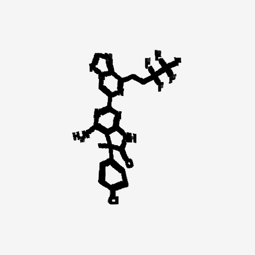 CC1(c2ccc(Cl)cc2)C(=O)Nc2nc(-c3cn4ncnc4c(CCC(F)(F)C(F)(F)F)n3)nc(N)c21